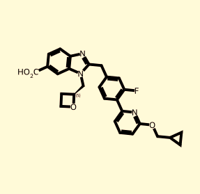 O=C(O)c1ccc2nc(Cc3ccc(-c4cccc(OCC5CC5)n4)c(F)c3)n(C[C@@H]3CCO3)c2c1